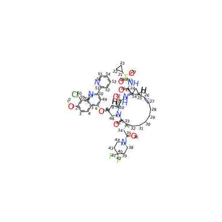 COc1ccc2c(O[C@@H]3C[C@H]4C(=O)N[C@]5(C(=O)NS(=O)(=O)C6CC6)C[C@H]5/C=C\CCCCC[C@H](CC(=O)N5CCC(F)(F)CC5)C(=O)N4C3)cc(-c3ccccn3)nc2c1Cl